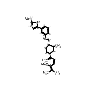 C=C(/C=C\C(OC)=C(C)C)[C@@H]1CC[C@@H](CNc2cccc(-c3cnc(OC)s3)c2)C(C)C1